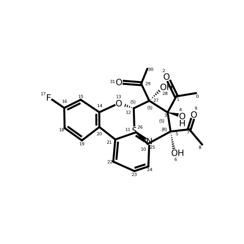 CC(=O)[C@]1(O)[C@@](O)(C(C)=O)CS[C@H](Oc2cc(F)ccc2-c2cccnc2)[C@@]1(O)C(C)=O